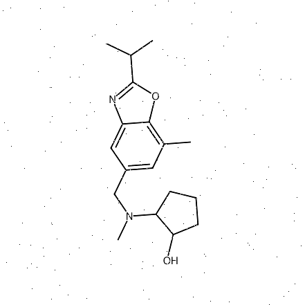 Cc1cc(CN(C)C2CCCC2O)cc2nc(C(C)C)oc12